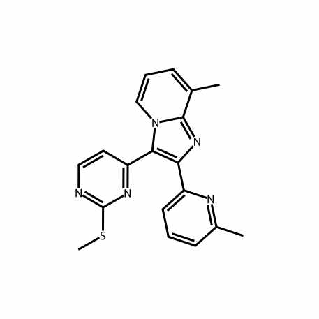 CSc1nccc(-c2c(-c3cccc(C)n3)nc3c(C)cccn23)n1